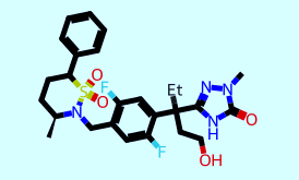 CCC(CCO)(c1nn(C)c(=O)[nH]1)c1cc(F)c(CN2[C@@H](C)CCC(c3ccccc3)S2(=O)=O)cc1F